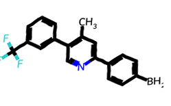 Bc1ccc(-c2cc(C)c(-c3cccc(C(F)(F)F)c3)cn2)cc1